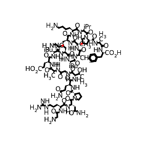 CC[C@H](C)[C@H](NC(=O)[C@H](CCCCN)NC(=O)[C@@H](NC(=O)[C@H](CCC(=O)O)NC(=O)[C@H](C)NC(=O)CNC(=O)[C@@H](NC(=O)[C@H](CCC(N)=O)NC(=O)[C@@H]1CCCN1C(=O)[C@H](CC(N)=O)NC(=O)[C@H](CCCNC(=N)N)NC(=O)CN)[C@@H](C)O)[C@@H](C)CC)C(=O)N[C@@H](C)C(=O)N[C@@H](C)C(=O)N[C@@H](CO)C(=O)N[C@@H](CCCCN)C(=O)N[C@H](C(=O)N1CCC[C@H]1C(=O)N[C@@H](C)C(=O)N[C@@H](Cc1ccccc1)C(=O)O)C(C)C